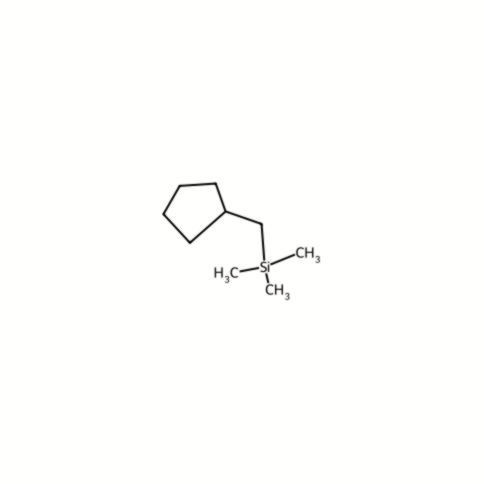 C[Si](C)(C)CC1CCCC1